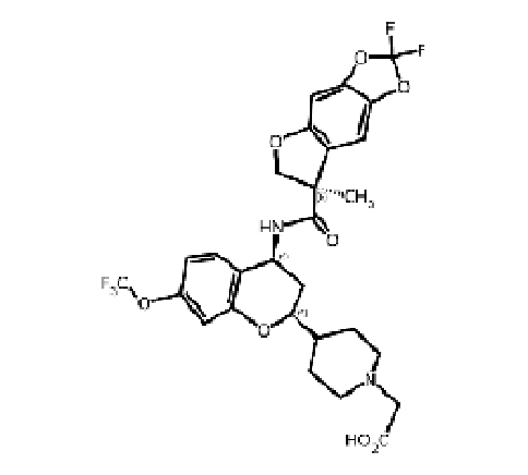 C[C@]1(C(=O)N[C@H]2C[C@@H](C3CCN(CC(=O)O)CC3)Oc3cc(OC(F)(F)F)ccc32)COc2cc3c(cc21)OC(F)(F)O3